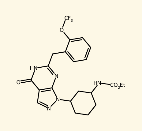 CCOC(=O)NC1CCCC(n2ncc3c(=O)[nH]c(Cc4ccccc4OC(F)(F)F)nc32)C1